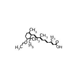 CCOC1CCC(C)=C(/C=C/C(C)=C/C=C/C(C)=C/C(=O)O)C1(C)C